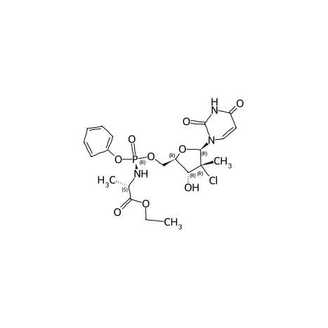 CCOC(=O)[C@H](C)N[P@@](=O)(OC[C@H]1O[C@@H](n2ccc(=O)[nH]c2=O)[C@](C)(Cl)[C@@H]1O)Oc1ccccc1